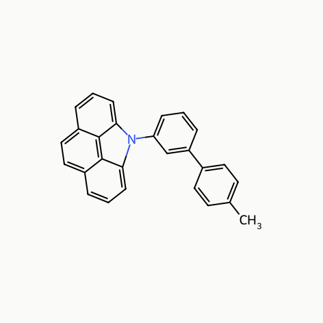 Cc1ccc(-c2cccc(-n3c4cccc5ccc6cccc3c6c54)c2)cc1